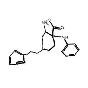 COC(=O)C1(Nc2ccccc2)CCN(CCc2ccccc2)CC1C